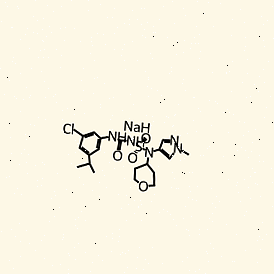 CC(C)c1cc(Cl)cc(NC(=O)NS(=O)(=O)N(c2cnn(C)c2)C2CCOCC2)c1.[NaH]